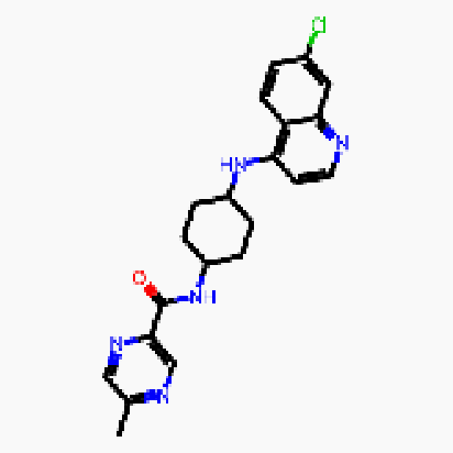 Cc1cnc(C(=O)NC2CCC(Nc3ccnc4cc(Cl)ccc34)CC2)cn1